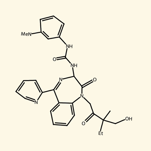 CCC(C)(CO)C(=O)CN1C(=O)C(NC(=O)Nc2cccc(NC)c2)N=C(c2ccccn2)c2ccccc21